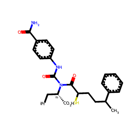 CC(C)C[C@@H](C(=O)O)N(C(=O)Nc1ccc(C(N)=O)cc1)C(=O)C(S)CCC(C)c1ccccc1